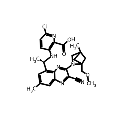 COCC12CC(C)(CN1c1nc3c([C@@H](C)Nc4ccc(Cl)nc4C(=O)O)cc(C)cc3nc1C#N)C2